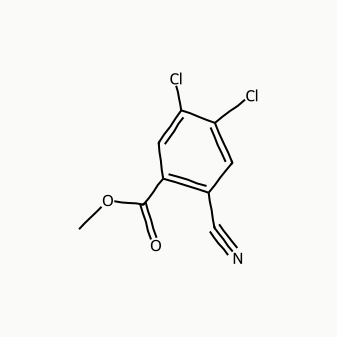 COC(=O)c1cc(Cl)c(Cl)cc1C#N